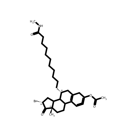 CNC(=O)CCCCCCCCCC[C@@H]1CC2=C(C=C=C(OC(C)=O)C2)C2CC[C@]3(C)C(=O)[C@H](Br)CC3C21